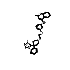 Cc1cc(Nc2cccc(OCCN3CCC(c4ccccc4)(c4nnn[nH]4)CC3)c2)c2ccccc2n1